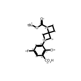 CC(C)(C)OC(=O)N1CCC12CN(c1cc(F)cc(C(=O)O)c1Cl)C2